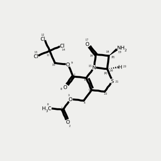 CC(=O)OCC1=C(C(=O)OCC(Cl)(Cl)Cl)N2C(=O)[C@@H](N)[C@H]2SC1